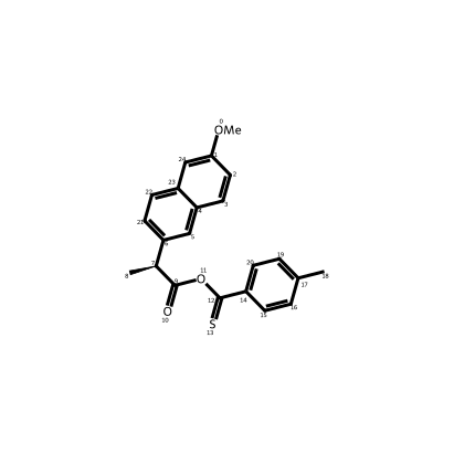 COc1ccc2cc([C@H](C)C(=O)OC(=S)c3ccc(C)cc3)ccc2c1